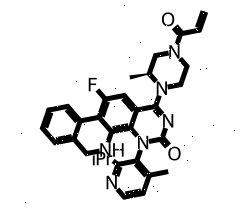 C=CC(=O)N1CCN(c2nc(=O)n(-c3c(C)ccnc3C(C)C)c3c4c(c(F)cc23)-c2ccccc2CN4)[C@@H](C)C1